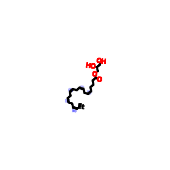 CC/C=C\C/C=C\C/C=C\C/C=C\C/C=C\CCCC(=O)OCC(O)CO